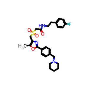 Cc1oc(-c2ccc(CN3CCCCC3)cc2)nc1CS(=O)(=O)CC(=O)NCCc1ccc(F)cc1